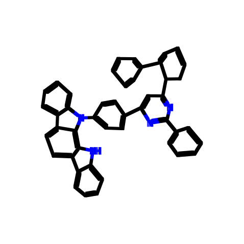 C1=CCC(c2cc(-c3ccc(-n4c5ccccc5c5ccc6c7ccccc7[nH]c6c54)cc3)nc(-c3ccccc3)n2)C(c2ccccc2)=C1